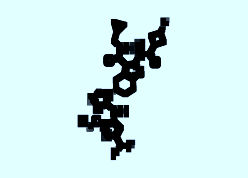 Cn1nc(C(F)F)cc1Nc1nncn1[C@H]1CCc2sc(NC(=O)C3CC(F)C3)c(C(=O)NCC3CC3)c2C1